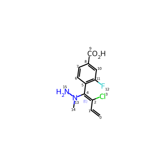 C=C/C(Cl)=C(/c1ccc(C(=O)O)cc1F)N(C)N